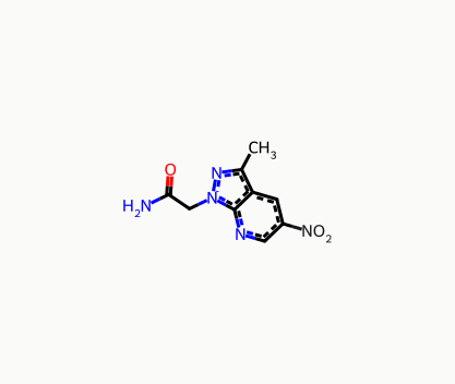 Cc1nn(CC(N)=O)c2ncc([N+](=O)[O-])cc12